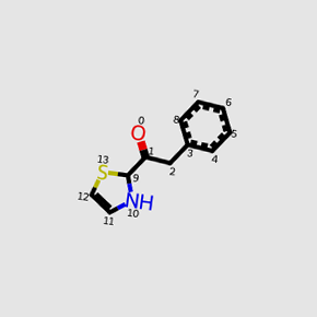 O=C(Cc1ccccc1)C1NC=CS1